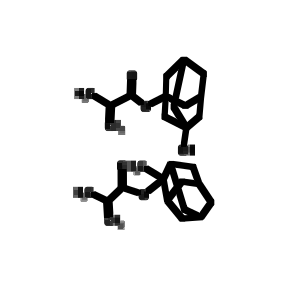 C=C(C)C(=O)OC1(C)C2CC3CC(C2)CC1C3.C=C(C)C(=O)OC12CC3CC(CC(O)(C3)C1)C2